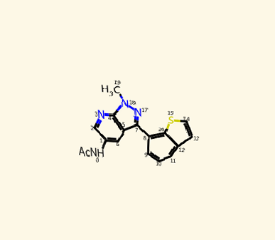 CC(=O)Nc1cnc2c(c1)c(-c1cccc3ccsc13)nn2C